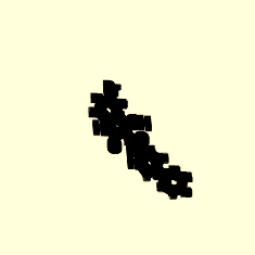 O=C(Nc1ccc(N2CCCCC2)cc1)c1c(O)c2cc(Br)ccc2[nH]c1=O